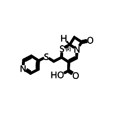 O=C(O)C1=CN2C(=O)C[C@H]2SC1CSc1ccncc1